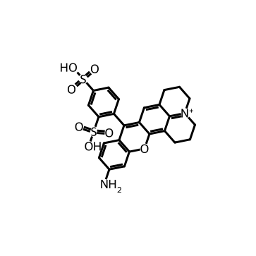 Nc1ccc2c(c1)Oc1c3c4c(cc1=C2c1ccc(S(=O)(=O)O)cc1S(=O)(=O)O)CCC[N+]=4CCC3